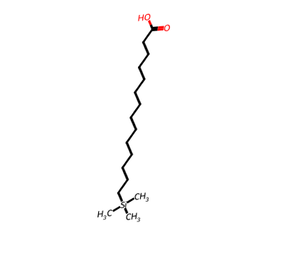 C[Si](C)(C)CCCCCCCCCCCCCC(=O)O